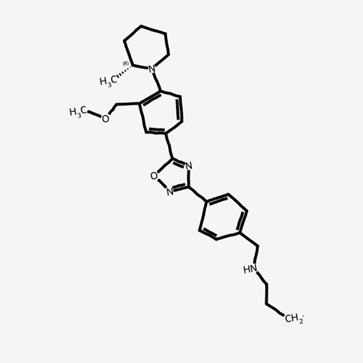 [CH2]CCNCc1ccc(-c2noc(-c3ccc(N4CCCC[C@H]4C)c(COC)c3)n2)cc1